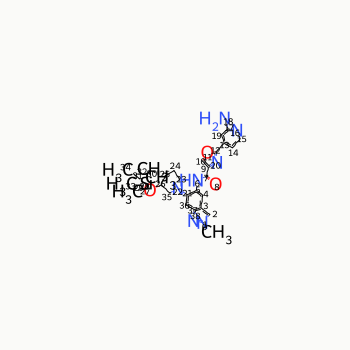 Cn1cc2cc(NC(=O)c3coc(-c4ccnc(N)c4)n3)c(N3CCCC(O[Si](C)(C)C(C)(C)C)C3)cc2n1